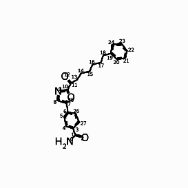 NC(=O)c1ccc(-c2cnc(C(=O)CCCCCCc3ccccc3)o2)cc1